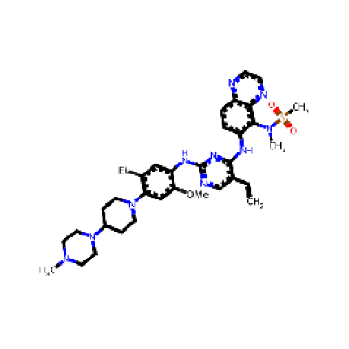 C=Cc1cnc(Nc2cc(CC)c(N3CCC(N4CCN(C)CC4)CC3)cc2OC)nc1Nc1ccc2nccnc2c1N(C)S(C)(=O)=O